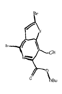 CCCCOC(=O)c1nc(Br)c2cc(Br)sc2c1O